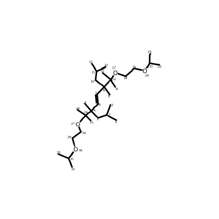 CC(C)CC(C)(C=CC(C)(CC(C)C)C(C)(C)OCCOC(C)C)C(C)(C)OCCOC(C)C